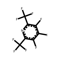 Fc1c(C(F)(F)F)nc(C(F)(F)F)c(F)c1I